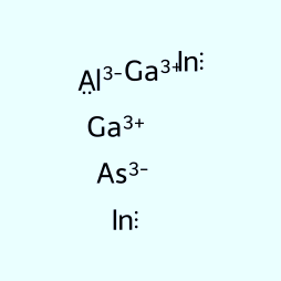 [Al-3].[As-3].[Ga+3].[Ga+3].[In].[In]